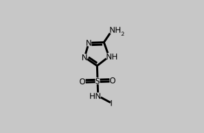 Nc1nnc(S(=O)(=O)NI)[nH]1